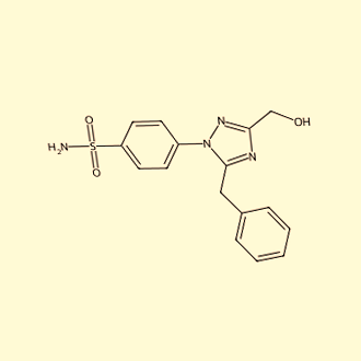 NS(=O)(=O)c1ccc(-n2nc(CO)nc2Cc2ccccc2)cc1